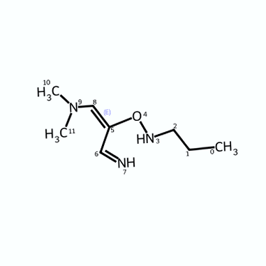 CCCNO/C(C=N)=C/N(C)C